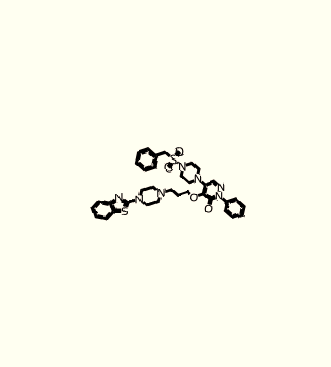 O=c1c(OCCCN2CCN(c3nc4ccccc4s3)CC2)c(N2CCN(S(=O)(=O)Cc3ccccc3)CC2)cnn1-c1ccccc1